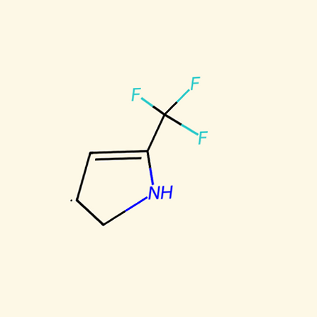 FC(F)(F)C1=C[CH]CN1